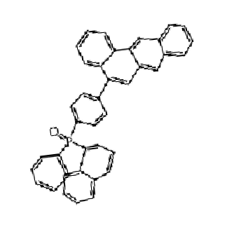 O=P(c1ccccc1)(c1ccc(-c2cc3cc4ccccc4cc3c3ccccc23)cc1)c1cccc2ccccc12